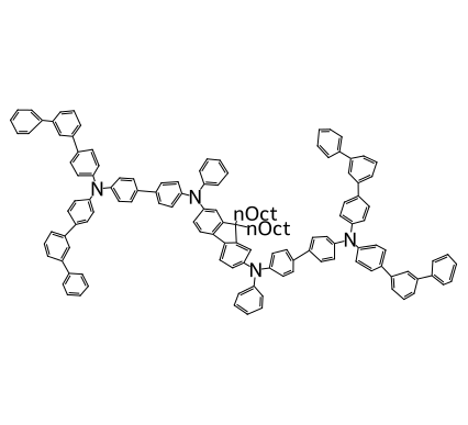 CCCCCCCCC1(CCCCCCCC)c2cc(N(c3ccccc3)c3ccc(-c4ccc(N(c5ccc(-c6cccc(-c7ccccc7)c6)cc5)c5ccc(-c6cccc(-c7ccccc7)c6)cc5)cc4)cc3)ccc2-c2ccc(N(c3ccccc3)c3ccc(-c4ccc(N(c5ccc(-c6cccc(-c7ccccc7)c6)cc5)c5ccc(-c6cccc(-c7ccccc7)c6)cc5)cc4)cc3)cc21